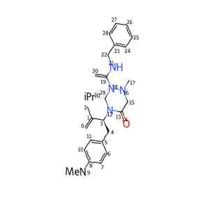 C=C(C)[C@H](Cc1ccc(NC)cc1)N1C(=O)CN(C)N(C(=C)NCc2ccccc2)[C@H]1C(C)C